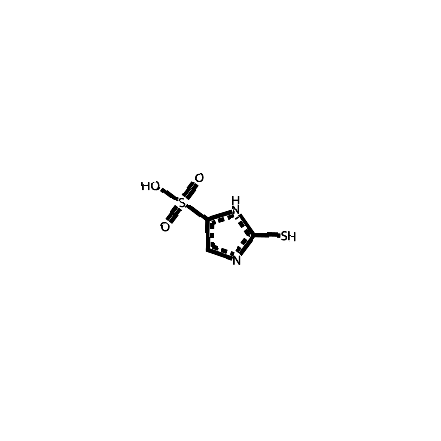 O=S(=O)(O)c1cnc(S)[nH]1